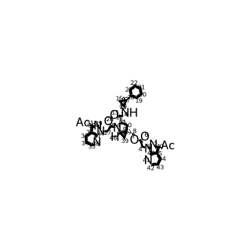 CC(=O)c1nn(CC(=O)OC[C@@]23C[C@@H](C(=O)N[C@@H]4C[C@H]4c4ccccc4)N(C(=O)Cn4nc(C(C)=O)c5cccnc54)[C@@H]2C3)c2ncccc12